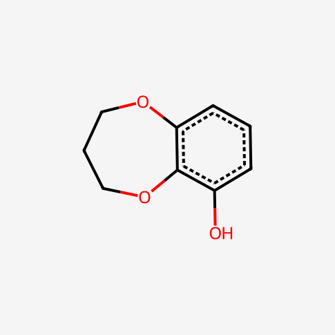 Oc1cccc2c1OCCCO2